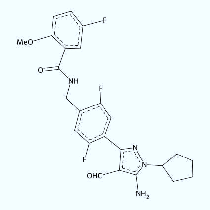 COc1ccc(F)cc1C(=O)NCc1cc(F)c(-c2nn(C3CCCC3)c(N)c2C=O)cc1F